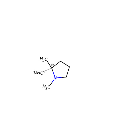 CN1CCC[C@@]1(C)[C]=O